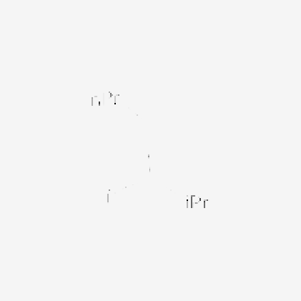 CCCCC(I)C(C)C